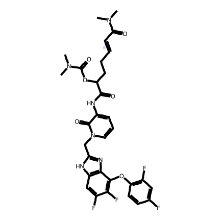 CN(C)C(=O)/C=C/CCC(OC(=O)N(C)C)C(=O)Nc1cccn(Cc2nc3c(Oc4ccc(F)cc4F)c(F)c(F)cc3[nH]2)c1=O